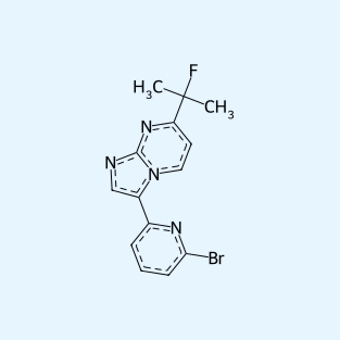 CC(C)(F)c1ccn2c(-c3cccc(Br)n3)cnc2n1